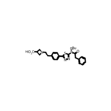 CCCCN(C(=O)Cc1ccccc1)c1nnc(-c2ccc(CCN3CC(C(=O)O)C3)cc2)s1